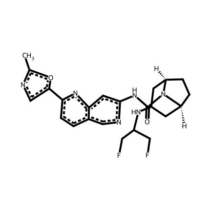 Cc1ncc(-c2ccc3cnc(NC(=O)N4[C@@H]5CC[C@H]4CC(NC(CF)CF)C5)cc3n2)o1